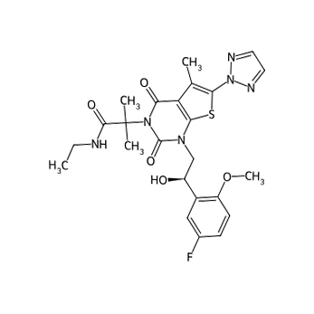 CCNC(=O)C(C)(C)n1c(=O)c2c(C)c(-n3nccn3)sc2n(C[C@H](O)c2cc(F)ccc2OC)c1=O